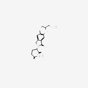 O=C1CCC(N2Cc3cc4c(cc3C2=O)OC(CO)CO4)C(=O)N1